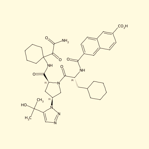 CC(C)(O)c1cnnn1[C@H]1C[C@@H](C(=O)NC2(C(=O)C(N)=O)CCCCC2)N(C(=O)[C@@H](CC2CCCCC2)NC(=O)c2ccc3cc(C(=O)O)ccc3c2)C1